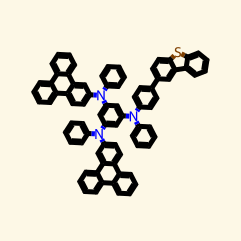 c1ccc(N(c2ccc(-c3ccc4sc5ccccc5c4c3)cc2)c2cc(N(c3ccccc3)c3ccc4c5ccccc5c5ccccc5c4c3)cc(N(c3ccccc3)c3ccc4c5ccccc5c5ccccc5c4c3)c2)cc1